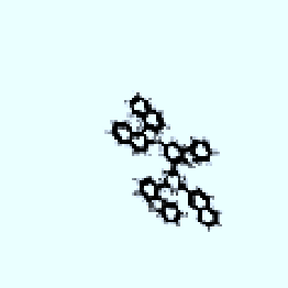 c1ccc2cc(-c3nc(-c4cc(-n5c6ccc7ccccc7c6c6c7ccccc7ccc65)cc5c4sc4ccccc45)nc(-c4cccc5sc6ccccc6c45)n3)ccc2c1